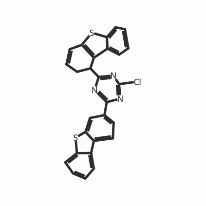 Clc1nc(-c2ccc3c(c2)sc2ccccc23)nc(C2CC=Cc3sc4ccccc4c32)n1